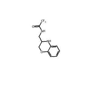 O=C(NCC1COc2ccccc2N1)C(F)(F)F